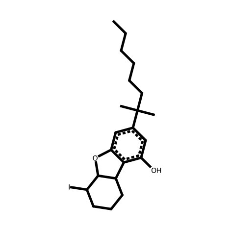 CCCCCCC(C)(C)c1cc(O)c2c(c1)OC1C(I)CCCC21